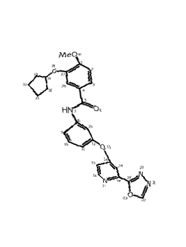 COc1ccc(C(=O)Nc2cccc(Oc3ccnc(-c4nnco4)c3)c2)cc1OC1CCCC1